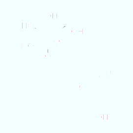 O=C1CC(c2ccc(O[C@@H]3O[C@H](CO)[C@@H](O)[C@H](O)[C@H]3O)cc2)Oc2cc(O)ccc21